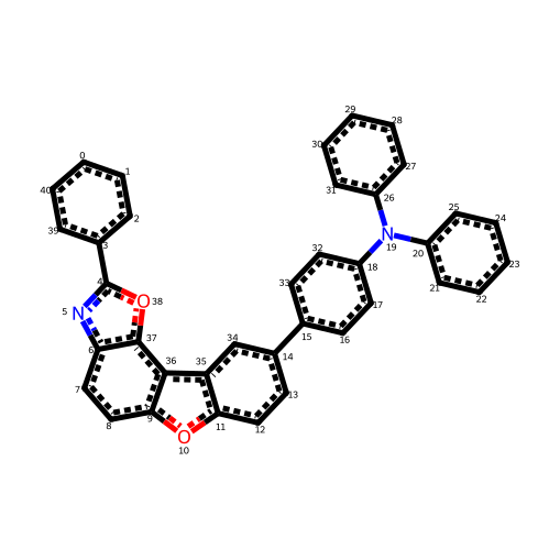 c1ccc(-c2nc3ccc4oc5ccc(-c6ccc(N(c7ccccc7)c7ccccc7)cc6)cc5c4c3o2)cc1